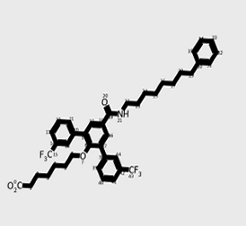 O=C(O)CCCCCCOc1c(-c2cccc(C(F)(F)F)c2)cc(C(=O)NCCCCCCCCc2ccccc2)cc1-c1cccc(C(F)(F)F)c1